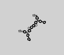 CC(C)(C)c1ccc(N(c2ccc(-c3ccccc3)cc2)c2ccc3c(c2)oc2cc4cc5c(cc4cc23)oc2cc(N(c3ccc(-c4ccccc4)cc3)c3ccc(C(C)(C)C)cc3)ccc25)cc1